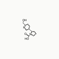 O=C(O)n1cccc1-c1ccc(CO)nc1